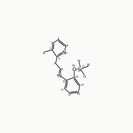 Cc1cccnc1CC=Nc1ccccc1O[Si](C)(C)C